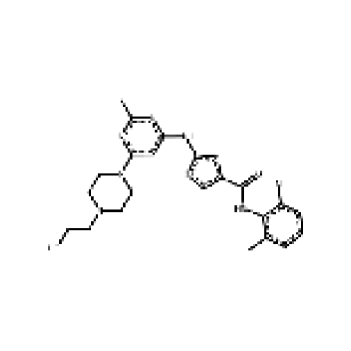 Cc1nc(Nc2nc(C(=O)Nc3c(C)cccc3Cl)cs2)cc(N2CCN(CCO)CC2)n1